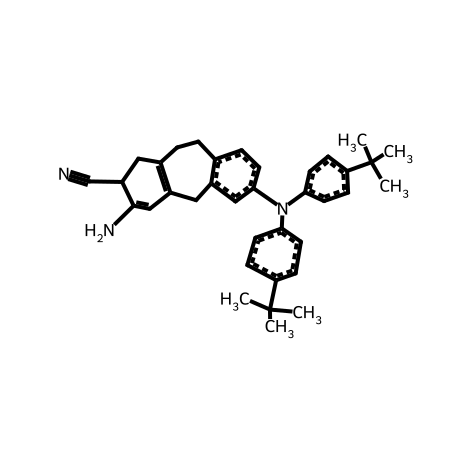 CC(C)(C)c1ccc(N(c2ccc(C(C)(C)C)cc2)c2ccc3c(c2)CC2=C(CC3)CC(C#N)C(N)=C2)cc1